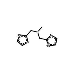 CN(Cc1ncc[nH]1)Cc1ncc[nH]1